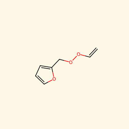 C=COOCc1ccco1